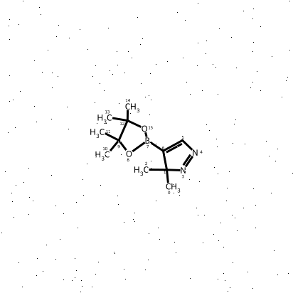 CC1(C)N=NC=C1B1OC(C)(C)C(C)(C)O1